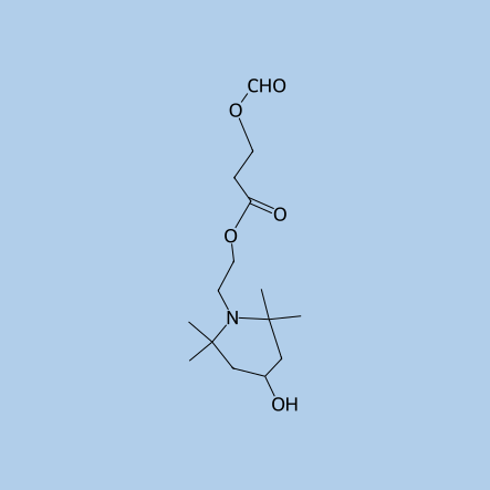 CC1(C)CC(O)CC(C)(C)N1CCOC(=O)CCOC=O